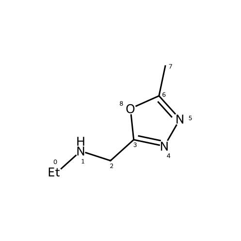 CCNCc1nnc(C)o1